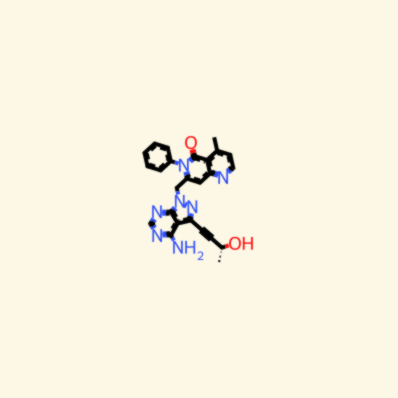 Cc1ccnc2cc(Cn3nc(C#C[C@@H](C)O)c4c(N)ncnc43)n(-c3ccccc3)c(=O)c12